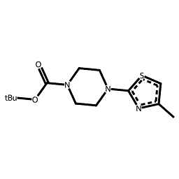 Cc1csc(N2CCN(C(=O)OC(C)(C)C)CC2)n1